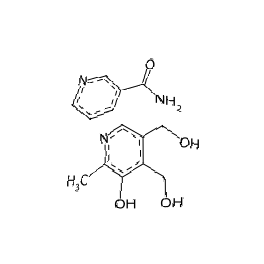 Cc1ncc(CO)c(CO)c1O.NC(=O)c1cccnc1